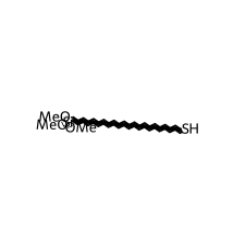 CO[Si](CCCCCCCCCCCCCCCCCCCCCCS)(OC)OC